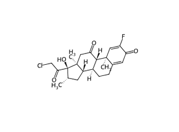 C[C@H]1C[C@H]2[C@@H]3CCC4=CC(=O)C(F)=C[C@]4(C)[C@H]3C(=O)C[C@]2(C)[C@@]1(O)C(=O)CCl